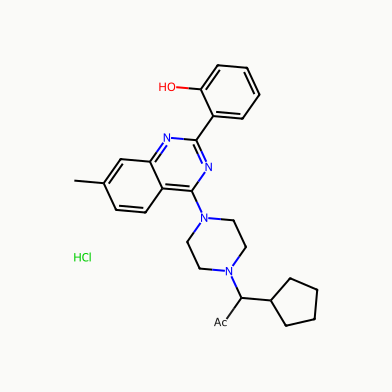 CC(=O)C(C1CCCC1)N1CCN(c2nc(-c3ccccc3O)nc3cc(C)ccc23)CC1.Cl